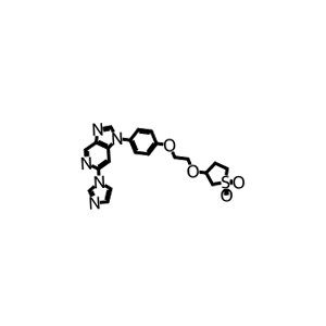 O=S1(=O)CCC(OCCOc2ccc(-n3cnc4cnc(-n5ccnc5)cc43)cc2)C1